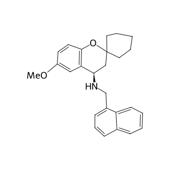 COc1ccc2c(c1)[C@H](NCc1cccc3ccccc13)CC1(CCCCC1)O2